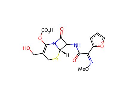 CO/N=C(\C(=O)NC1C(=O)N2C(OC(=O)O)=C(CO)CS[C@@H]12)c1ccco1